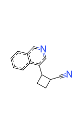 N#CC1CCC1c1cncc2ccccc12